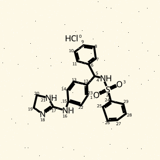 Cl.O=S(=O)(NC(c1ccccc1)c1ccc(NC2=NCCN2)cc1)c1ccccc1